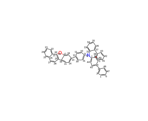 c1ccc(-c2ccc(N(c3ccc(-c4ccc5c(c4)oc4c6ccccc6ccc54)cc3)c3ccccc3-c3ccccc3)cc2)cc1